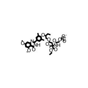 CCOC(=O)C(I)(CC(=O)OCC(CC)Oc1c(C)cc(-c2nc3cc(OC)cc(OC)c3c(=O)[nH]2)cc1C)NC(=O)CO[N+](=O)[O-]